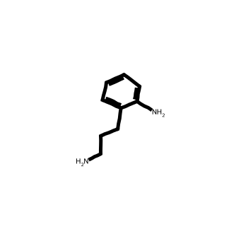 NCCCc1ccccc1N